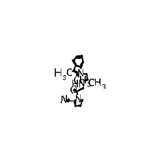 Cc1c(C)n(CC(C)NCC(=O)N2CCC[C@H]2C#N)c2ccccc12